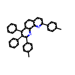 Cc1ccc(-c2ccc3ccc4c(-c5ccccc5)c(-c5ccccc5)c(-c5ccc(C)cc5)nc4c3n2)cc1